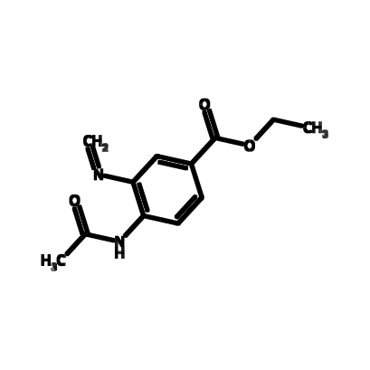 C=Nc1cc(C(=O)OCC)ccc1NC(C)=O